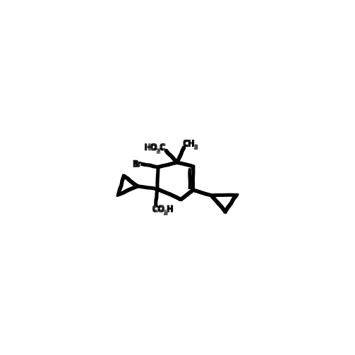 CC1(C(=O)O)C=C(C2CC2)CC(C(=O)O)(C2CC2)C1Br